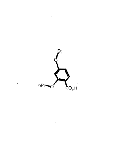 CCCOc1cc(OCC)ccc1C(=O)O